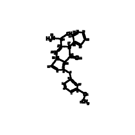 COc1cccc(Cc2ccn3nc(C(C)N)n(-c4ccccc4)c(=O)c23)c1